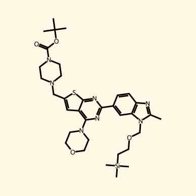 Cc1nc2ccc(-c3nc(N4CCOCC4)c4cc(CN5CCN(C(=O)OC(C)(C)C)CC5)sc4n3)cc2n1COCC[Si](C)(C)C